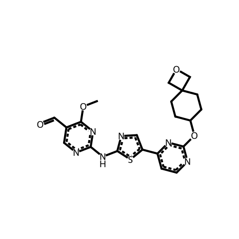 COc1nc(Nc2ncc(-c3ccnc(OC4CCC5(CC4)COC5)n3)s2)ncc1C=O